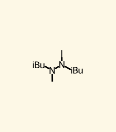 CCC(C)N(C)N(I)C(C)CC